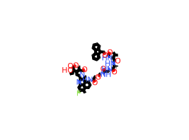 CC[C@@]1(O)C(=O)OCc2c1cc1n(c2=O)Cc2c-1nc1cc(F)c(C)c3c1c2[C@@H](NC(=O)COCNC(=O)CNC(=O)[C@H](C)NC(=O)[C@@H](NC(=O)OCC1c2ccccc2-c2ccccc21)C(C)C)CC3